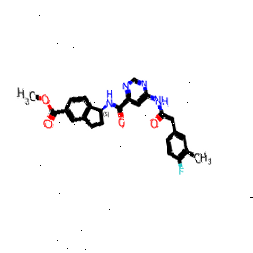 COC(=O)c1ccc2c(c1)CC[C@@H]2NC(=O)c1cc(NC(=O)Cc2ccc(F)c(C)c2)ncn1